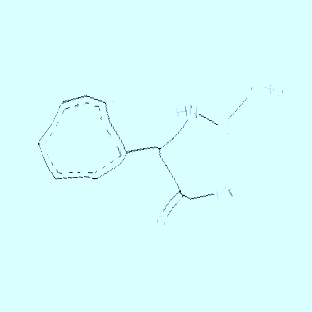 CC(C)C(=O)C(NOC=O)c1ccccc1